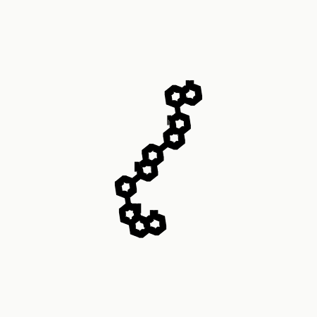 c1cc(-c2ccc3cc(-c4ccc5ccc(-c6cccc7ncccc67)nc5c4)ccc3n2)cc(-c2ccc3ccc4cccnc4c3n2)c1